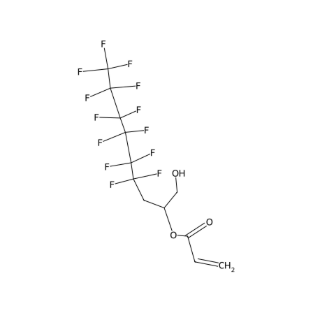 C=CC(=O)OC(CO)CC(F)(F)C(F)(F)C(F)(F)C(F)(F)C(F)(F)C(F)(F)F